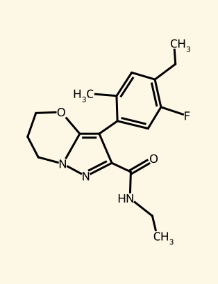 CCNC(=O)c1nn2c(c1-c1cc(F)c(CC)cc1C)OCCC2